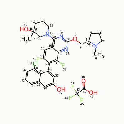 CN1CCC[C@H]1COc1nc(N2CCC[C@@](C)(O)C2)c2cc(F)c(-c3cc(O)cc4cccc(Cl)c34)c(F)c2n1.O=C(O)C(F)(F)F